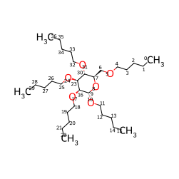 CCCCCOC[C@H]1O[C@H](OCCCCC)[C@@H](OCCCCC)[C@@H](OCCCCC)[C@@H]1OCCCCC